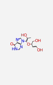 C/C(O)=C(\OC(C=CO)CO)n1cnc2c(=O)[nH]cnc21